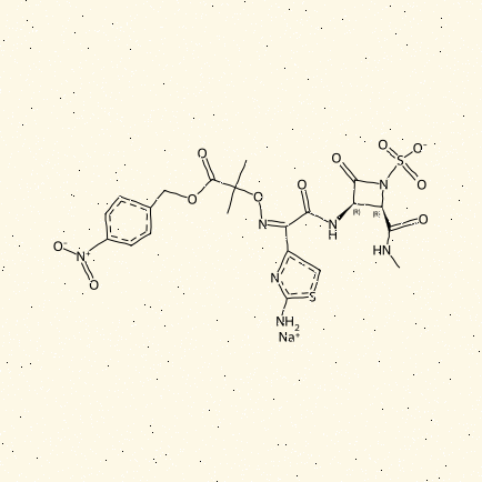 CNC(=O)[C@H]1[C@@H](NC(=O)C(=NOC(C)(C)C(=O)OCc2ccc([N+](=O)[O-])cc2)c2csc(N)n2)C(=O)N1S(=O)(=O)[O-].[Na+]